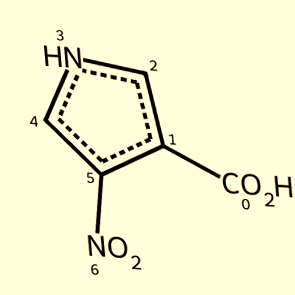 O=C(O)c1c[nH]cc1[N+](=O)[O-]